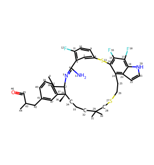 CCC1/N=C(\N)c2cc(ccc2F)Sc2c(F)c(F)c3[nH]ccc3c2CCSCC(C)(C)CCC[C@]1(C)c1cccc(CC(C)C=O)c1